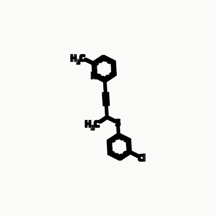 Cc1cccc(C#CC(C)Sc2cccc(Cl)c2)n1